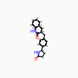 O=C1CCC(c2ccc(Cc3cc4ccccc4[nH]c3=O)cc2)N1